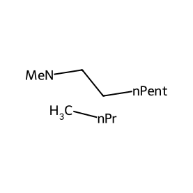 CCCC.CCCCCCCNC